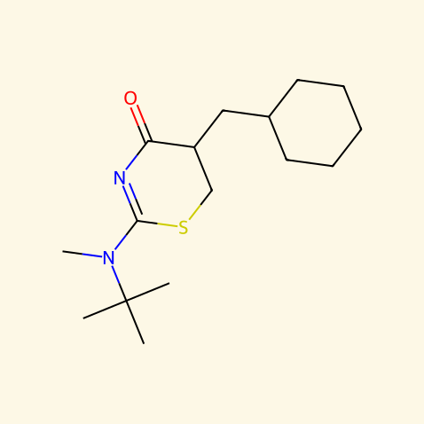 CN(C1=NC(=O)C(CC2CCCCC2)CS1)C(C)(C)C